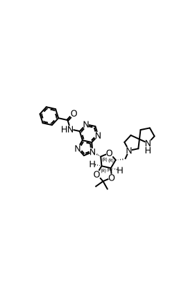 CC1(C)O[C@@H]2[C@H](O1)[C@@H](CN1CCC3(CCCN3)C1)O[C@H]2n1cnc2c(NC(=O)c3ccccc3)ncnc21